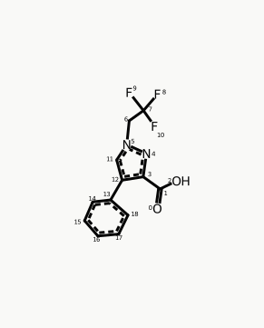 O=C(O)c1nn(CC(F)(F)F)cc1-c1ccccc1